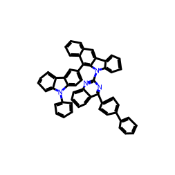 c1ccc(-c2ccc(-c3nc(-n4c5ccccc5c5cc6ccccc6c(-c6ccc7c(c6)c6ccccc6n7-c6ccccc6)c54)nc4ccccc34)cc2)cc1